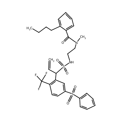 C=CC(c1cc(S(=O)(=O)c2ccccc2)ccc1C(F)(F)F)S(=O)(=O)NCCN(C)C(=O)c1ccccc1CCCC